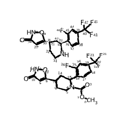 COC(=O)N1CCC(c2cc(=O)[nH]o2)CC1c1ccc(C(F)(F)F)cc1F.O=c1cc([C@H]2CCN[C@H](c3ccc(C(F)(F)F)cc3F)C2)o[nH]1